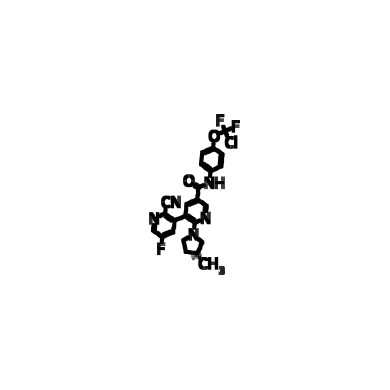 C[C@@H]1CCN(c2ncc(C(=O)Nc3ccc(OC(F)(F)Cl)cc3)cc2-c2cc(F)cnc2C#N)C1